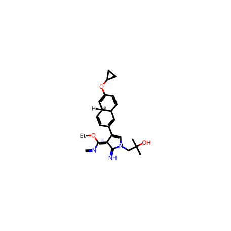 C=N/C(OCC)=C1\C(=N)N(CC(C)(C)O)C=C1C1=CC2C=CC(OC3CC3)=C[C@H]2C=C1